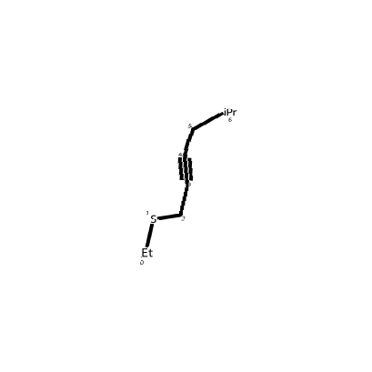 CCSCC#CCC(C)C